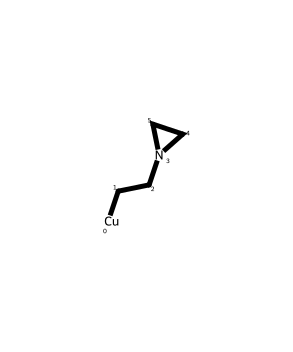 [Cu][CH2]CN1CC1